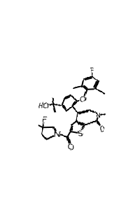 Cc1cc(F)cc(C)c1Oc1ccc(C(C)(C)O)cc1-c1cn(C)c(=O)c2sc(C(=O)N3CCC(C)(F)C3)cc12